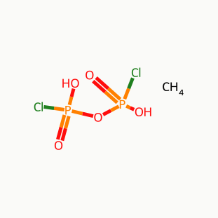 C.O=P(O)(Cl)OP(=O)(O)Cl